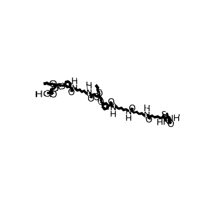 C=CCOC(COc1cccc(C(=O)NCCCCCNC(=O)COC(COc2cccc(C(=O)NCCCCCNC(=O)CCCCCNC(=O)CCCCC3SCC4NC(=O)NC43)c2)OCC=C)c1)OCC(=O)O